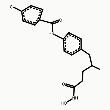 CC(CCC(=O)NO)Cc1ccc(NC(=O)c2ccc(Cl)cc2)cc1